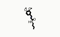 CCCCNC(=O)/C=C/c1ccc(OC)c(OC)c1